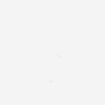 O=c1cc(N2CCC(O)C2)c1=O